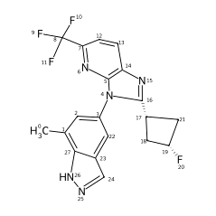 Cc1cc(-n2c3nc(C(F)(F)F)ccc3nc2[C@H]2C[C@@H](F)C2)cc2cn[nH]c12